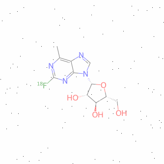 Cc1nc([18F])nc2c1ncn2[C@@H]1O[C@H](CO)[C@@H](O)[C@@H]1O